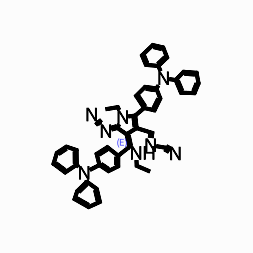 CCN/C(=C1/C(=NC#N)N(CC)C(c2ccc(N(c3ccccc3)c3ccccc3)cc2)=C1C=NC#N)c1ccc(N(c2ccccc2)c2ccccc2)cc1